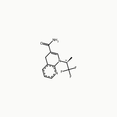 C[C@H](N1C=C(C(N)=O)Cc2cccnc21)C(F)(F)F